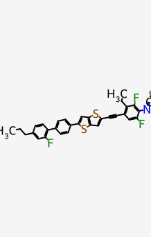 CCCc1ccc(-c2ccc(-c3cc4sc(C#Cc5cc(F)c(N=C=S)c(F)c5CC)cc4s3)cc2)c(F)c1